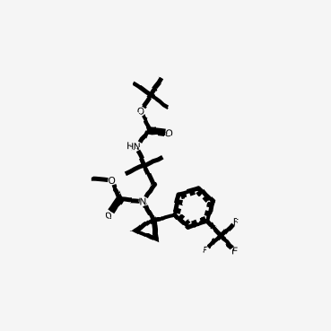 COC(=O)N(CC(C)(C)NC(=O)OC(C)(C)C)C1(c2cccc(C(F)(F)F)c2)CC1